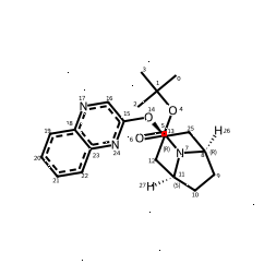 CC(C)(C)OC(=O)N1[C@@H]2CC[C@H]1C[C@@H](Oc1cnc3ccccc3n1)C2